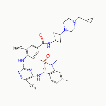 COc1cc(C(=O)NC2CC(N3CCN(CC4CC4)CC3)C2)ccc1Nc1ncc(C(F)(F)F)c(NCc2ccc(C)cc2N(C)S(C)(=O)=O)n1